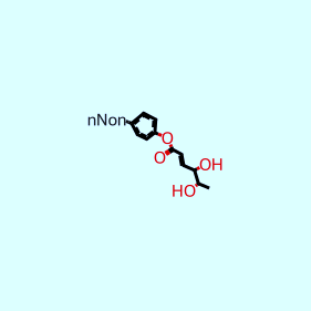 CCCCCCCCCc1ccc(OC(=O)C=CC(O)C(C)O)cc1